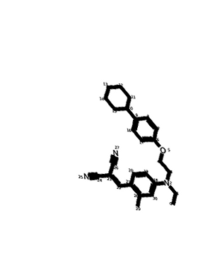 CCN(CCOc1ccc(C2CCCCC2)cc1)c1ccc(C=C(C#N)C#N)c(C)c1